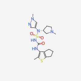 Cc1sc2c(c1NC(=O)NS(=O)(=O)N(c1cnn(C)c1)[C@@H]1CCN(C)C1)CCC2